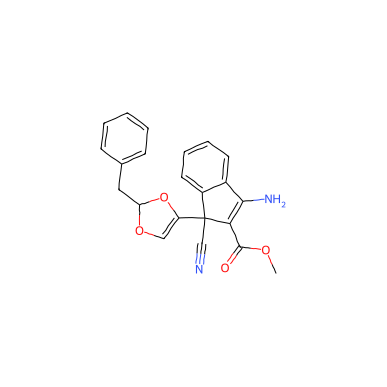 COC(=O)C1=C(N)c2ccccc2C1(C#N)C1=COC(Cc2ccccc2)O1